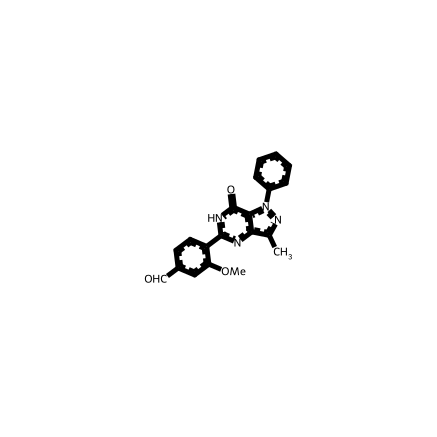 COc1cc(C=O)ccc1-c1nc2c(C)nn(-c3ccccc3)c2c(=O)[nH]1